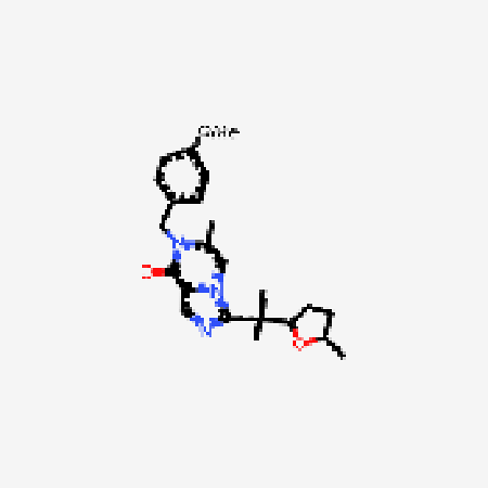 COc1ccc(Cn2c(C)cn3c(C(C)(C)C4CCC(C)O4)ncc3c2=O)cc1